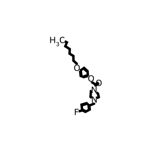 CCCCCCCCOc1ccc(OCC(=O)N2CCN(Cc3ccc(F)cc3)CC2)cc1